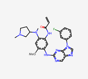 C=CC(=O)Nc1cc(Nc2ncc3ncn(-c4cccc(F)c4)c3n2)c(OC)cc1N(C)C1CCN(C)C1